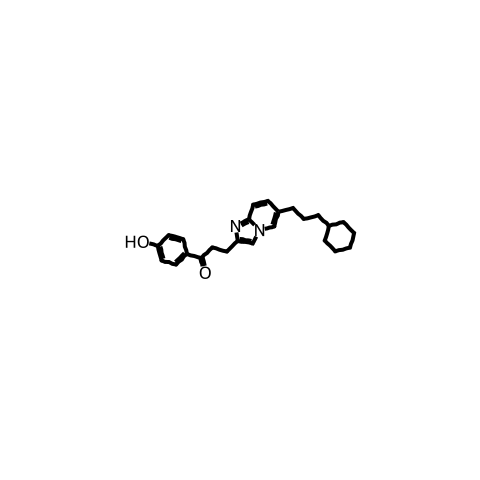 O=C(CCc1cn2cc(CCCC3CCCCC3)ccc2n1)c1ccc(O)cc1